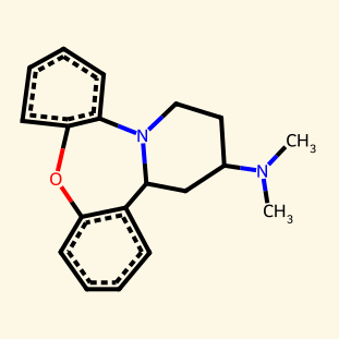 CN(C)C1CCN2c3ccccc3Oc3ccccc3C2C1